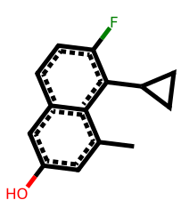 Cc1cc(O)cc2ccc(F)c(C3CC3)c12